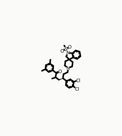 Cc1cc(C)cc(C(=O)C(C)C[C@@H](CCN2CCC3(CC2)CN(S(C)(=O)=O)c2ccccc23)c2ccc(Cl)c(Cl)c2)c1